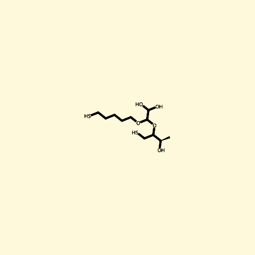 C[C@@H](O)C(CS)OC(OCCCCCS)C(O)O